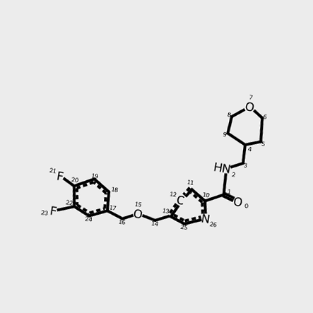 O=C(NCC1CCOCC1)c1ccc(COCc2ccc(F)c(F)c2)cn1